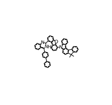 CC1(C)c2ccccc2-c2c1ccc1c2c2ccccc2n1-c1cccc2c1oc1cccc(C3N=c4ccccc4=C(c4ccc(-c5ccccc5)cc4)N3)c12